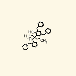 CCCC(CC)(Pc1ccccc1CN1CCCCC1)c1cc(Cc2ccccc2)cc(Cc2ccccc2)c1O